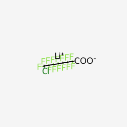 O=C([O-])C(F)(F)C(F)(F)C(F)(F)C(F)(F)C(F)(F)C(F)(F)C(F)(F)Cl.[Li+]